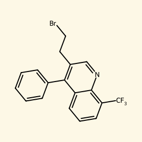 FC(F)(F)c1cccc2c(-c3ccccc3)c(CCBr)cnc12